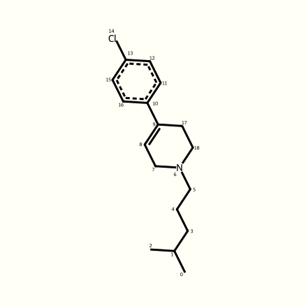 CC(C)CCCN1CC=C(c2ccc(Cl)cc2)CC1